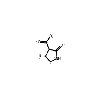 O=C([O-])C1CCNC1=O.[Li+]